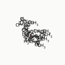 CC[C@@H](C(=O)[C@@H](C)[C@@H](O)[C@H](C)[C@@H]1O[C@@H]([C@@H](CC)C(=O)N2CCN(CC(/C=C\c3ccc(Cl)cc3Cl)C(=O)OC)CC2)CC[C@@H]1C)[C@H]1OO[C@@]2(CC[C@@](C)([C@H]3CC[C@](O)(CC)[C@H](C)O3)O2)[C@H](OC(C)=O)/C=C\[C@H](C)C[C@@H]1C